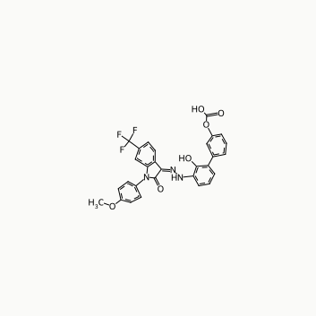 COc1ccc(N2C(=O)C(=NNc3cccc(-c4cccc(OC(=O)O)c4)c3O)c3ccc(C(F)(F)F)cc32)cc1